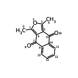 Cc1oc(C)c2c1C(=O)c1ccccc1C2=O